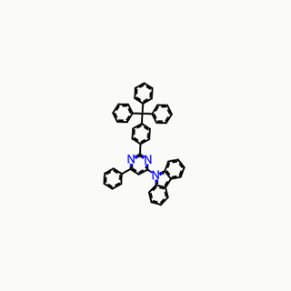 c1ccc(-c2cc(-n3c4ccccc4c4ccccc43)nc(-c3ccc(C(c4ccccc4)(c4ccccc4)c4ccccc4)cc3)n2)cc1